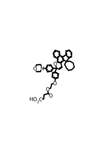 O=C(O)CCC(=O)OCCOc1ccc(C2(c3ccc(N4CCOCC4)cc3)C=Cc3c4c(c5ccccc5c3O2)-c2ccccc2C42CCCCCCC2)cc1